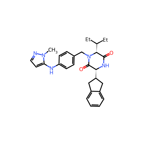 CCC(CC)[C@@H]1C(=O)N[C@H](C2Cc3ccccc3C2)C(=O)N1Cc1ccc(Nc2ccnn2C)cc1